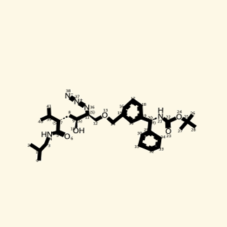 CC(C)CNC(=O)[C@@H](C[C@H](O)[C@H](COCc1cccc([C@H](NC(=O)OC(C)(C)C)c2ccccc2)c1)N=[N+]=[N-])C(C)C